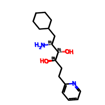 N[C@H](CC1CCCCC1)[C@H](O)[C@H](O)CCc1ccccn1